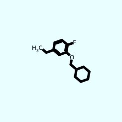 CCc1ccc(F)c(OCC2CCCCC2)c1